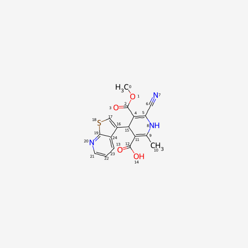 COC(=O)C1=C(C#N)NC(C)=C(C(=O)O)C1c1csc2ncccc12